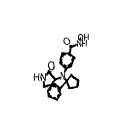 O=C(NO)c1ccc(N(C2CCNC2=O)C2(c3ccccc3)CCCC2)cc1